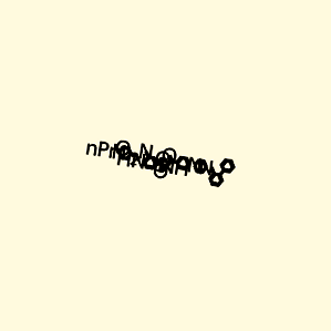 CCCN1CCC(CNc2ccc(S(=O)(=O)NC(=O)c3ccc(N4CCN(Cc5ccccc5-c5ccccc5)CC4)cc3)cc2[N+](=O)[O-])CC1